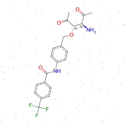 CC(=O)[C@@H](N)[C@H](OCc1ccc(NC(=O)c2ccc(C(F)(F)F)cc2)cc1)C(C)=O